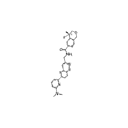 CN(C)c1cccc(-c2ccc3nnc(CNC(=O)c4ccc5c(c4)[C@](C)(F)COC5)cc3n2)n1